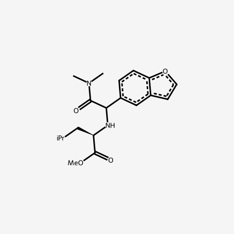 COC(=O)[C@@H](CC(C)C)NC(C(=O)N(C)C)c1ccc2occc2c1